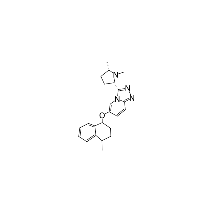 CC1CCC(Oc2ccc3nnc([C@@H]4CC[C@H](C)N4C)n3c2)c2ccccc21